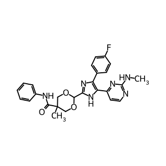 CNc1nccc(-c2[nH]c(C3OCC(C)(C(=O)Nc4ccccc4)CO3)nc2-c2ccc(F)cc2)n1